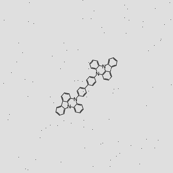 c1ccc2c(c1)N(c1ccc(-c3ccc(N4c5ccccc5-n5c6ccccc6c6cccc4c65)cc3)cc1)c1cccc3c4ccccc4n-2c13